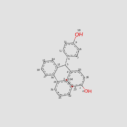 Oc1ccc(C(c2ccc(O)cc2)c2ccccc2-c2ccccc2)cc1